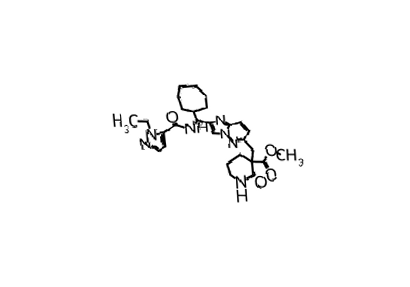 CCn1nccc1C(=O)N[C@H](c1cn2nc(CC3(C(=O)OC)CCCNC3=O)ccc2n1)C1CCCCCC1